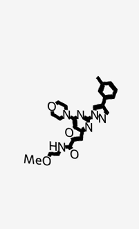 COCCNC(=O)c1cc2nc(-n3cc(-c4cccc(C)c4)cn3)nc(N3CCOCC3)c2o1